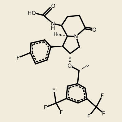 C[C@@H](O[C@H]1CN2C(=O)CCC(NC(=O)O)[C@@H]2[C@@H]1c1ccc(F)cc1)c1cc(C(F)(F)F)cc(C(F)(F)F)c1